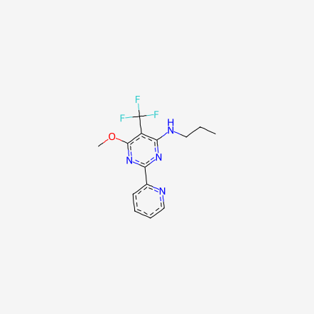 CCCNc1nc(-c2ccccn2)nc(OC)c1C(F)(F)F